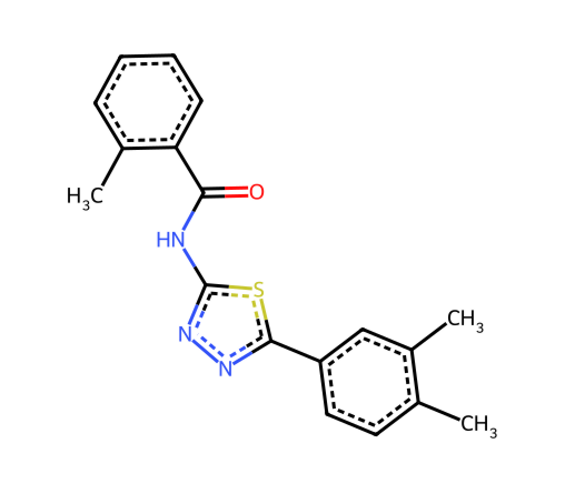 Cc1ccc(-c2nnc(NC(=O)c3ccccc3C)s2)cc1C